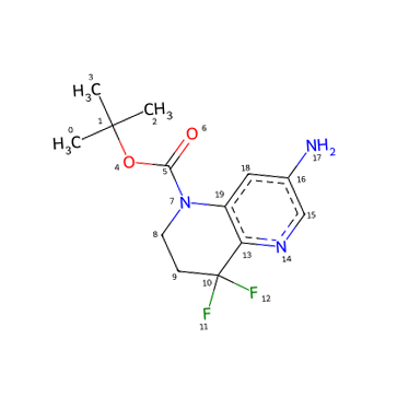 CC(C)(C)OC(=O)N1CCC(F)(F)c2ncc(N)cc21